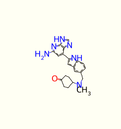 CN(Cc1ccc2[nH]c(-c3cc(N)nc4[nH]cnc34)cc2c1)C1CCC(=O)CC1